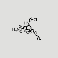 CCCN[C@H]1CN(CCOCCOC)S(=O)(=O)c2sc(S(N)(=O)=O)cc21.Cl